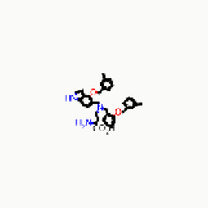 Cc1cccc(COc2ccccc2CN(CC[C@H](N)C(=O)O)Cc2ccc3[nH]ccc3c2OCc2cccc(C)c2)c1